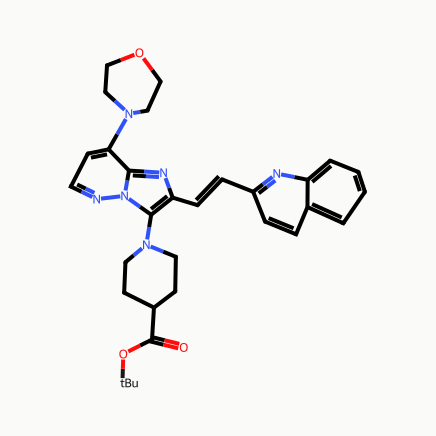 CC(C)(C)OC(=O)C1CCN(c2c(/C=C/c3ccc4ccccc4n3)nc3c(N4CCOCC4)ccnn23)CC1